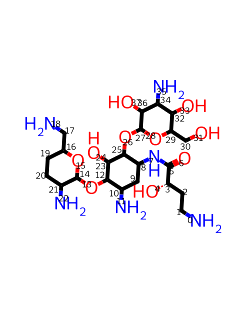 NCC[C@H](O)C(=O)NC1CC(N)C(OC2OC(CN)CCC2N)C(O)C1OC1OC(CO)C(O)C(N)C1O